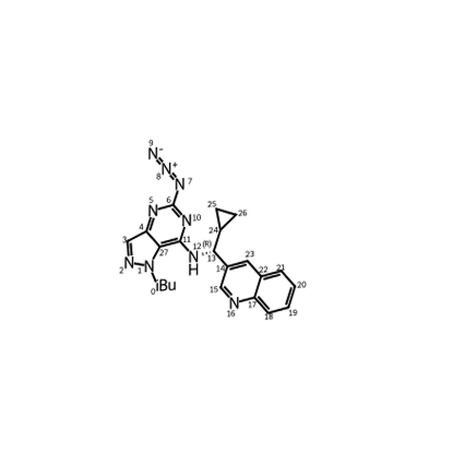 CCC(C)n1ncc2nc(N=[N+]=[N-])nc(N[C@@H](c3cnc4ccccc4c3)C3CC3)c21